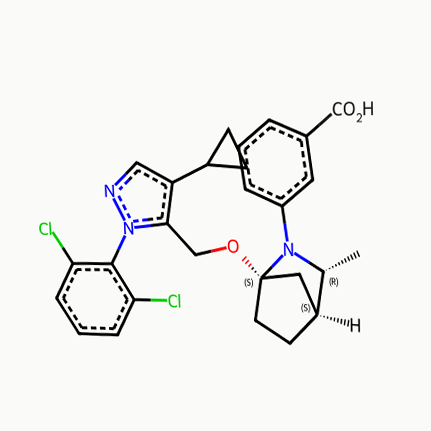 C[C@@H]1[C@H]2CC[C@](OCc3c(C4CC4)cnn3-c3c(Cl)cccc3Cl)(C2)N1c1cccc(C(=O)O)c1